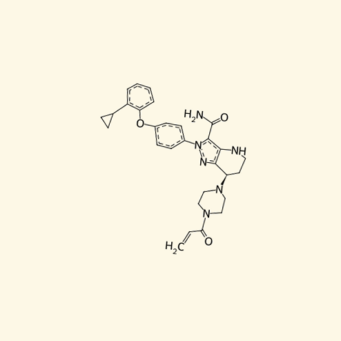 C=CC(=O)N1CCN([C@@H]2CCNc3c2nn(-c2ccc(Oc4ccccc4C4CC4)cc2)c3C(N)=O)CC1